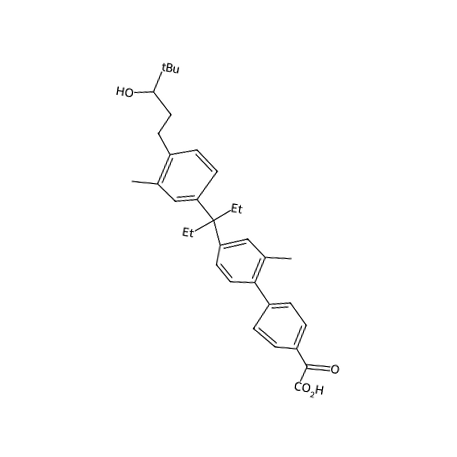 CCC(CC)(c1ccc(CCC(O)C(C)(C)C)c(C)c1)c1ccc(-c2ccc(C(=O)C(=O)O)cc2)c(C)c1